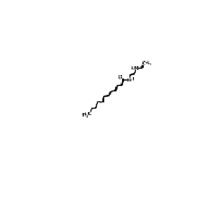 CCCCCCCCCCCC(=O)NCCNCC